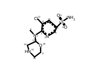 CN(c1ncc(S(N)(=O)=O)cc1Cl)C1CNCCO1